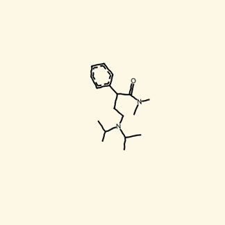 CC(C)N(CCC(C(=O)N(C)C)c1ccccc1)C(C)C